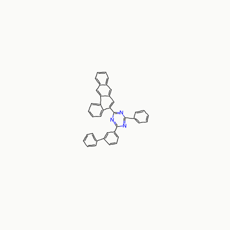 c1ccc(-c2cccc(-c3nc(-c4ccccc4)nc(-c4cc5cc6ccccc6cc5c5ccccc45)n3)c2)cc1